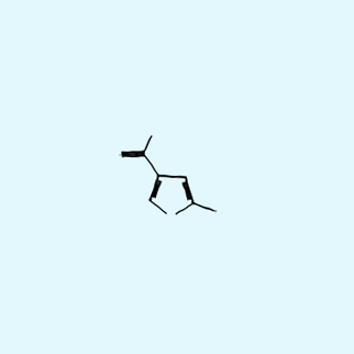 O=C(c1csc(Br)c1)C(F)(F)F